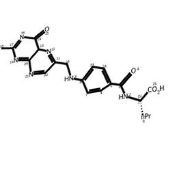 CCC[C@H](NC(=O)c1ccc(NCC2=NC3C(=O)N=C(C)N=C3N=C2)cc1)C(=O)O